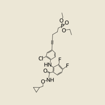 CCOP(=O)(CCCC#Cc1ccc(Nc2c(C(=O)NOCC3CC3)ccc(F)c2F)c(Cl)c1)OCC